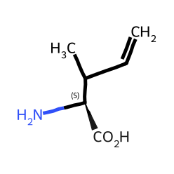 C=CC(C)[C@H](N)C(=O)O